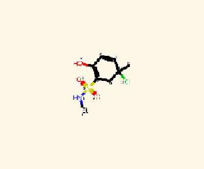 CCNS(=O)(=O)C1=C(O)C=CC(C)(Cl)C1